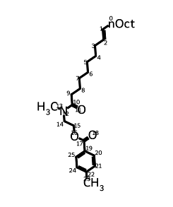 CCCCCCCCC=CCCCCCCCC(=O)N(C)CCOC(=O)c1ccc(C)cc1